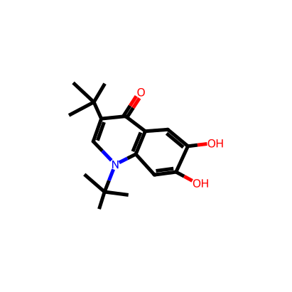 CC(C)(C)c1cn(C(C)(C)C)c2cc(O)c(O)cc2c1=O